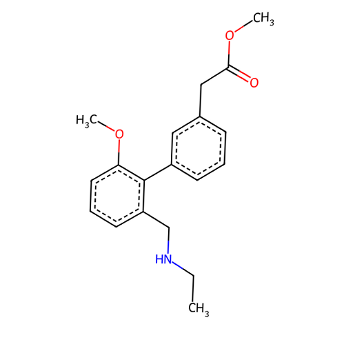 CCNCc1cccc(OC)c1-c1cccc(CC(=O)OC)c1